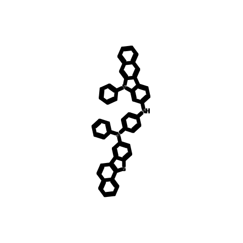 c1ccc(N(c2ccc(Nc3ccc4c5cc6ccccc6cc5n(-c5ccccc5)c4c3)cc2)c2ccc3sc4c5ccccc5ccc4c3c2)cc1